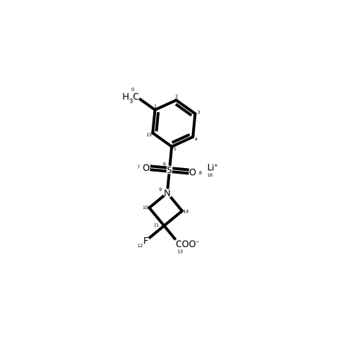 Cc1cccc(S(=O)(=O)N2CC(F)(C(=O)[O-])C2)c1.[Li+]